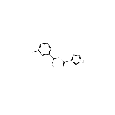 O=C(NC(CO)c1cccc(Cl)c1)c1cc[nH]c1